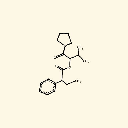 CCC(C(=O)OC(C(=O)N1CCCC1)C(C)C)c1ccccc1